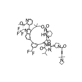 CO[C@@H](C)c1ncccc1-c1c2c3cc(ccc3n1CC(F)(F)F)-c1cc(cc(C(F)F)c1)C[C@H](NC(=O)C(C(C)C)N(C)C(=O)[C@H]1CCN(C(=O)C#CC(C)(C)N3CCC3)C1)C(=O)N1CCC[C@H](N1)C(=O)OCC(C)(C)C2